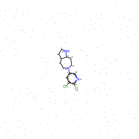 Clc1cc(N2CCC3CCNC3CC2)cnc1Cl